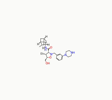 CC[C@@H]1[C@H](CO)ON(Cc2cccc(N3CCNCC3)c2)[C@@H]1C(=O)N[C@H]1C[C@H]2C[C@@H]([C@@H]1C)C2(C)C